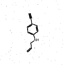 C#Cc1ccc(NCC=C)cc1